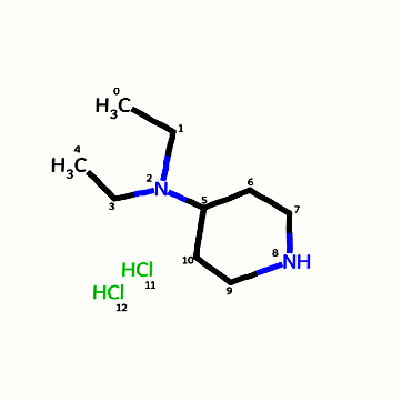 CCN(CC)C1CCNCC1.Cl.Cl